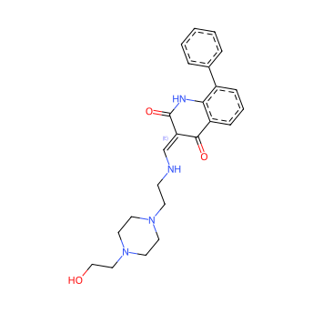 O=C1Nc2c(cccc2-c2ccccc2)C(=O)/C1=C\NCCN1CCN(CCO)CC1